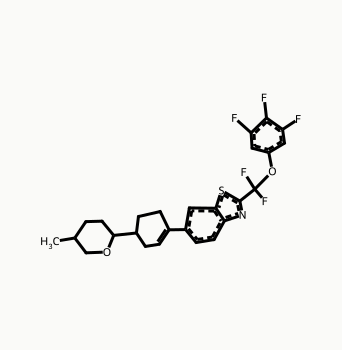 CC1CCC(C2CC=C(c3ccc4nc(C(F)(F)Oc5cc(F)c(F)c(F)c5)sc4c3)CC2)OC1